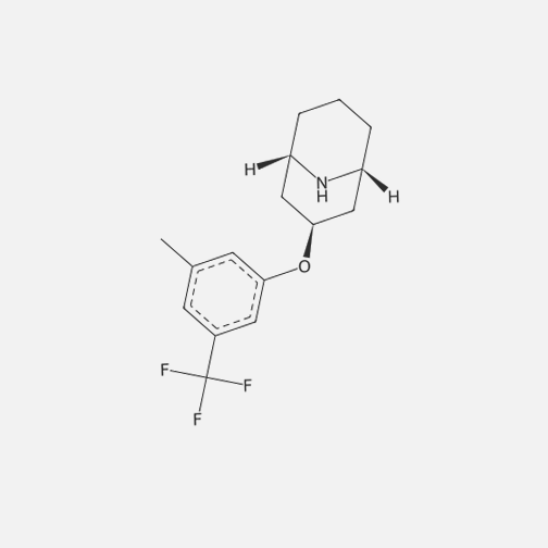 Cc1cc(O[C@@H]2C[C@H]3CCC[C@@H](C2)N3)cc(C(F)(F)F)c1